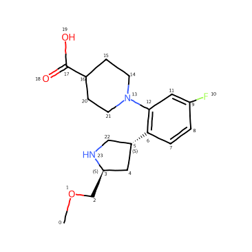 COC[C@@H]1C[C@@H](c2ccc(F)cc2N2CCC(C(=O)O)CC2)CN1